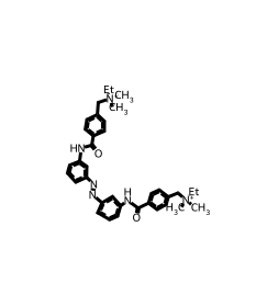 CC[N+](C)(C)Cc1ccc(C(=O)Nc2cccc(N=Nc3cccc(NC(=O)c4ccc(C[N+](C)(C)CC)cc4)c3)c2)cc1